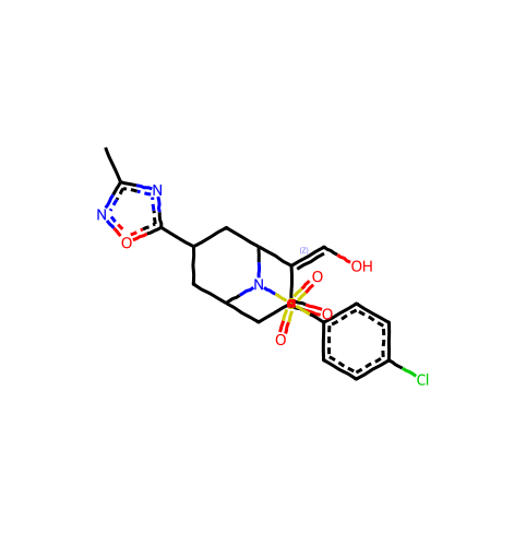 Cc1noc(C2CC3CC(=O)/C(=C\O)C(C2)N3S(=O)(=O)c2ccc(Cl)cc2)n1